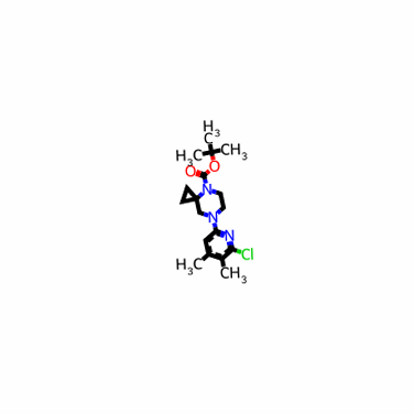 Cc1cc(N2CCN(C(=O)OC(C)(C)C)C3(CC3)C2)nc(Cl)c1C